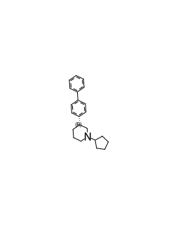 c1ccc(-c2ccc([C@H]3CCCN(C4CCCC4)C3)cc2)cc1